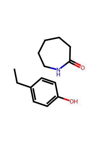 CCc1ccc(O)cc1.O=C1CCCCCN1